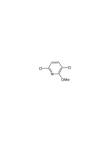 COc1nc(Cl)ccc1Cl